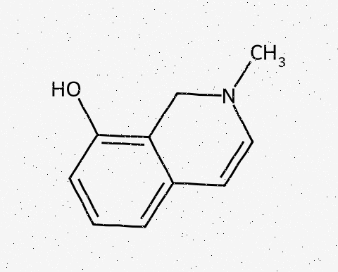 CN1C=Cc2cccc(O)c2C1